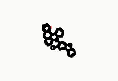 Clc1cc2c(cc1N1c3ccccc3C34c5ccccc5C(c5ccccc53)c3cccc1c34)oc1ccccc12